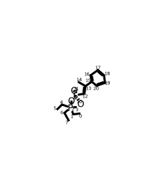 CCP(C)(CC)(CC)OS(=O)(=O)C=C(C)c1ccccc1